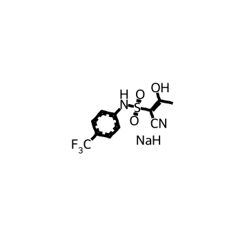 C/C(O)=C(\C#N)S(=O)(=O)Nc1ccc(C(F)(F)F)cc1.[NaH]